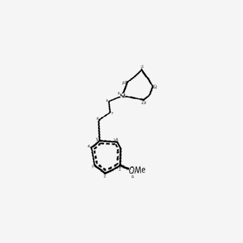 COc1cccc(CCCN2CCCC2)c1